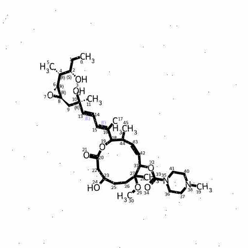 CC[C@H](O)[C@@H](C)[C@H]1O[C@@H]1C[C@@](C)(O)/C=C/C=C(\C)C1OC(=O)CC(O)CCC(C)(OC)C(OC(=O)N2CCN(C)CC2)C=CC1C